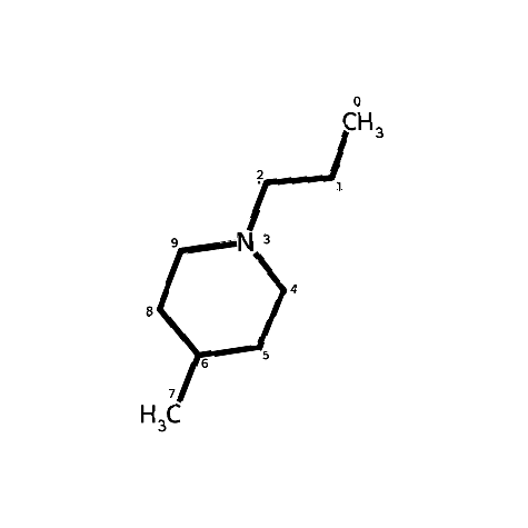 CC[CH]N1CCC(C)CC1